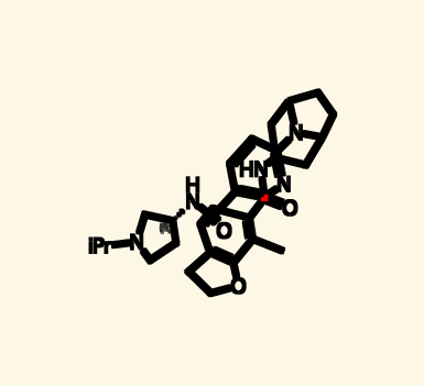 Cc1c(C(=O)NC2CC3CCC(C2)N3c2ccc(C(=O)N[C@@H]3CCN(C(C)C)C3)cn2)ccc2c1OCC2